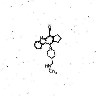 CNCC1CCN(c2c3c(c(C#N)c4nc5ccccc5n24)CCC3)CC1